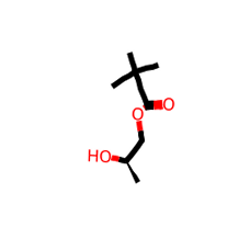 C[C@@H](O)COC(=O)C(C)(C)C